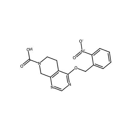 O=C(O)N1CCc2c(ncnc2OCc2ccccc2[N+](=O)[O-])C1